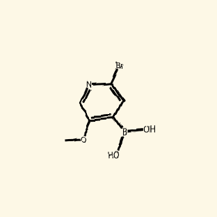 COc1cnc(Br)cc1B(O)O